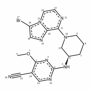 COc1nc(N[C@@H]2CCCN(c3nccn4c(Br)cnc34)C2)ncc1C#N